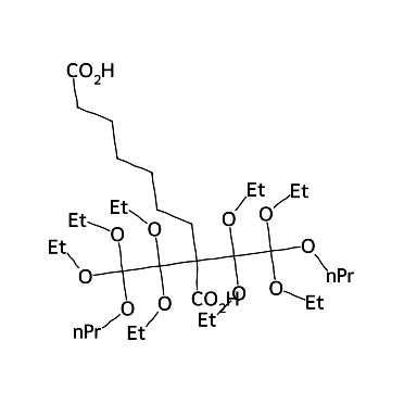 CCCOC(OCC)(OCC)C(OCC)(OCC)C(CCCCCCC(=O)O)(C(=O)O)C(OCC)(OCC)C(OCC)(OCC)OCCC